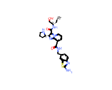 CC(C)C[C@@H](CO)NC(=O)c1c([C@@H]2CCCN2)nc2c(C(=O)NCc3ccc4nc(N)sc4c3)cccn12